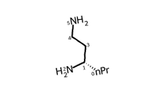 CCC[C@H](N)CCN